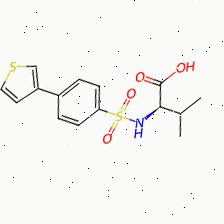 CC(C)[C@@H](NS(=O)(=O)c1ccc(-c2ccsc2)cc1)C(=O)O